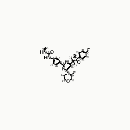 CC(C)NC(=O)Nc1ccc(-c2nc(N3CCOC[C@@H]3C)cc(C(C)(C)S(=O)(=O)c3ccc(F)cc3)n2)cc1